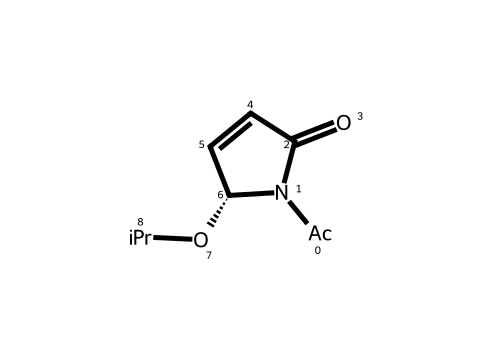 CC(=O)N1C(=O)C=C[C@H]1OC(C)C